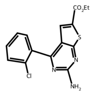 CCOC(=O)c1cc2c(-c3ccccc3Cl)nc(N)nc2s1